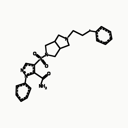 NC(=O)c1c(S(=O)(=O)N2CC3CN(CC[CH]c4ccccc4)CC3C2)cnn1-c1ccccc1